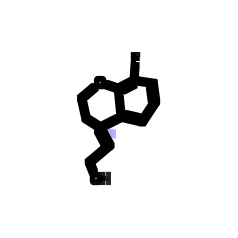 OC/C=C1\CCOc2c(F)cccc21